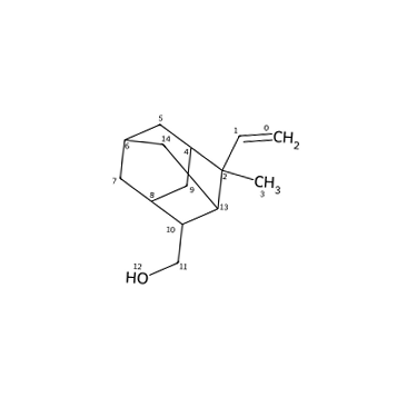 C=CC1(C)C2CC3CC(C2)C(CO)C1C3